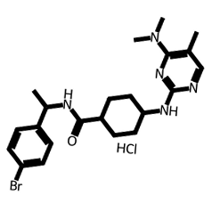 Cc1cnc(NC2CCC(C(=O)NC(C)c3ccc(Br)cc3)CC2)nc1N(C)C.Cl